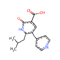 CC(C)Cc1[nH]c(=O)c(C(=O)O)cc1-c1ccncc1